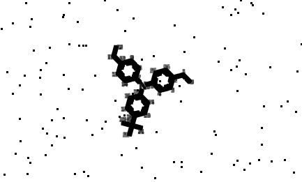 CCc1ccc(N(c2ccc(CC)cc2)c2ccc(C(C)(C)C)cc2)cc1